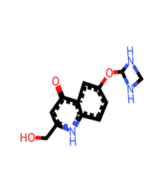 O=c1cc(CO)[nH]c2ccc(OC3NCN3)cc12